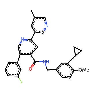 COc1ccc(CNC(=O)c2cc(-c3cncc(C)c3)ncc2-c2cccc(F)c2)cc1C1CC1